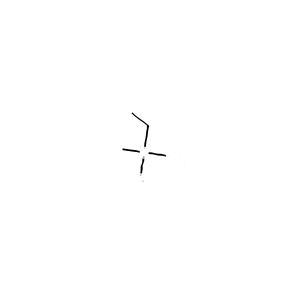 CCS(C)(C)S